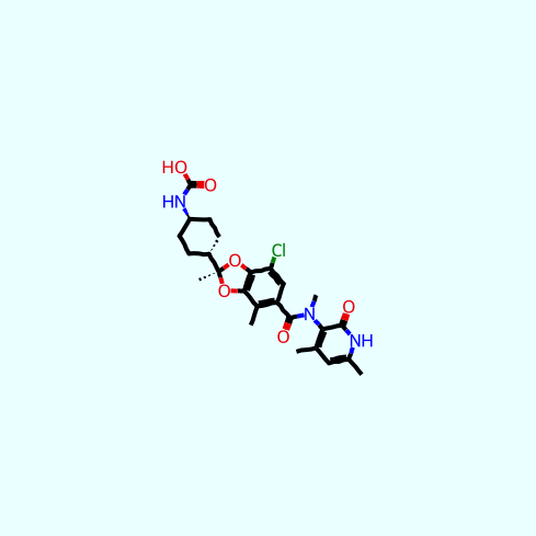 Cc1cc(C)c(N(C)C(=O)c2cc(Cl)c3c(c2C)O[C@@](C)([C@H]2CC[C@H](NC(=O)O)CC2)O3)c(=O)[nH]1